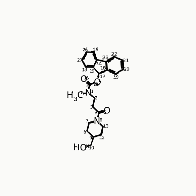 CN(CCC(=O)N1CCC(CO)CC1)C(=O)OC1c2ccccc2-c2ccccc21